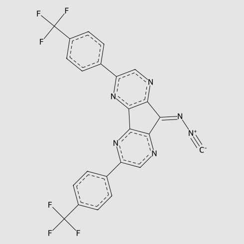 [C-]#[N+]N=C1c2ncc(-c3ccc(C(F)(F)F)cc3)nc2-c2nc(-c3ccc(C(F)(F)F)cc3)cnc21